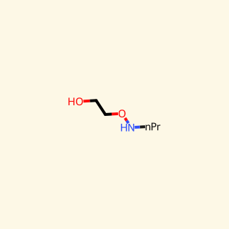 CCCNOCCO